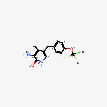 Cc1c(Cc2ccc(OC(F)(F)F)cc2)c[nH]c(=O)c1N